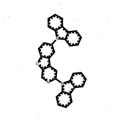 c1ccc2c(c1)c1ccccc1n2-c1ccc2oc3cnc(-n4c5ccccc5c5ccccc54)cc3c2c1